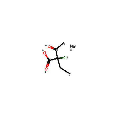 CCC(Cl)(C(C)=O)C(=O)[O-].[Na+]